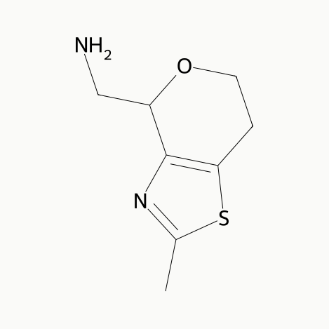 Cc1nc2c(s1)CCOC2CN